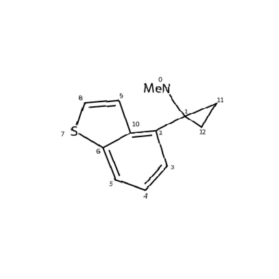 CNC1(c2cccc3sccc23)CC1